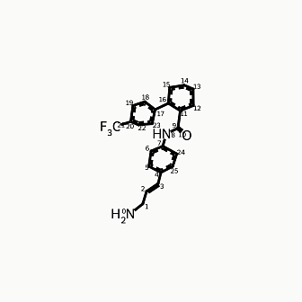 NC/C=C/c1ccc(NC(=O)c2ccccc2-c2ccc(C(F)(F)F)cc2)cc1